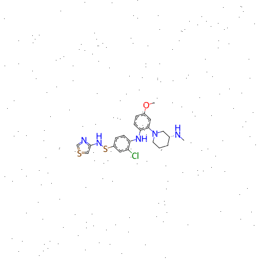 CN[C@@H]1CCCN(c2cc(OC)ccc2Nc2ccc(SNc3cscn3)cc2Cl)C1